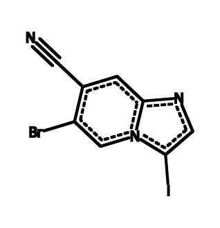 N#Cc1cc2ncc(I)n2cc1Br